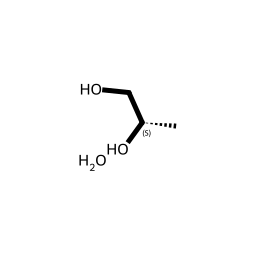 C[C@H](O)CO.O